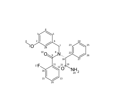 COc1cccc(CN(C(=O)c2ccccc2F)[C@@H](C(N)=O)c2ccccc2)c1